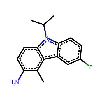 Cc1c(N)ccc2c1c1cc(F)ccc1n2C(C)C